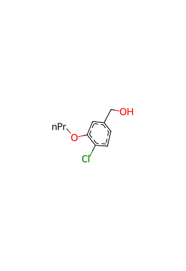 CCCOc1cc(CO)ccc1Cl